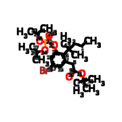 CCCC(C)(C)c1c(CC(=O)OC(C)(C)C)cc(Br)cc1OP(=O)(OC(C)C)OC(C)C